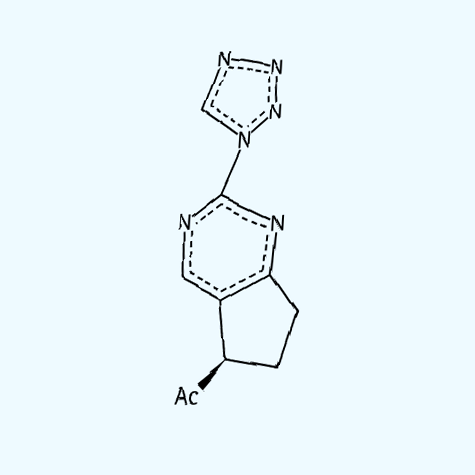 CC(=O)[C@@H]1CCc2nc(-n3cnnn3)ncc21